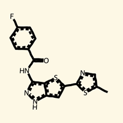 Cc1cnc(-c2cc3[nH]nc(NC(=O)c4ccc(F)cc4)c3s2)s1